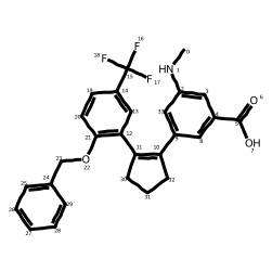 CNc1cc(C(=O)O)cc(C2=C(c3cc(C(F)(F)F)ccc3OCc3ccccc3)CCC2)c1